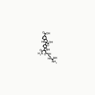 N=C(N)NCCNC(=O)c1[nH]c2cc(C3(C(=O)O)Cc4cc(C(=O)O)ccc4N3)ccc2c1C(N)=O